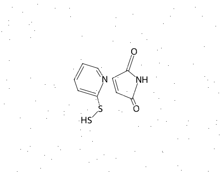 O=C1C=CC(=O)N1.SSc1ccccn1